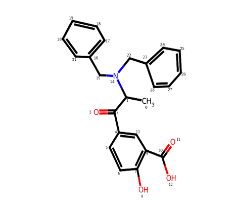 CC(C(=O)c1ccc(O)c(C(=O)O)c1)N(Cc1ccccc1)Cc1ccccc1